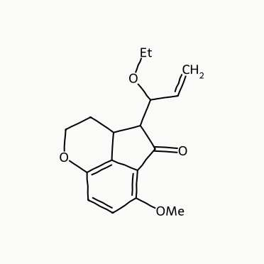 C=CC(OCC)C1C(=O)c2c(OC)ccc3c2C1CCO3